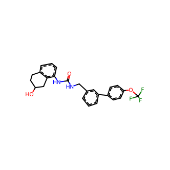 O=C(NCc1cccc(-c2ccc(OC(F)(F)F)cc2)c1)Nc1cccc2c1CC(O)CC2